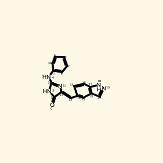 O=C1NC(Nc2ccccc2)=N/C1=C\c1ccc2[nH]ncc2c1